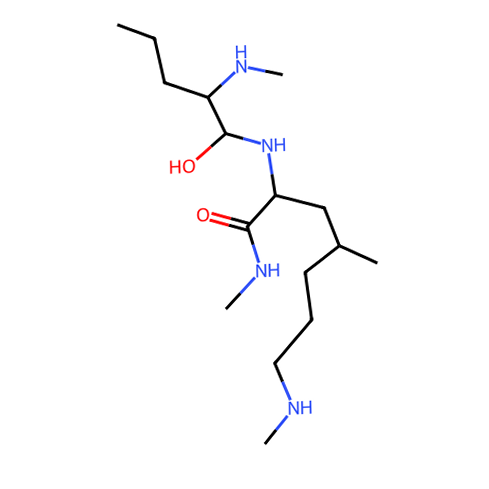 CCCC(NC)C(O)NC(CC(C)CCCNC)C(=O)NC